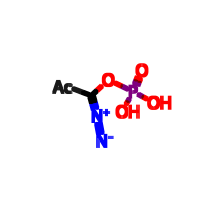 CC(=O)C(=[N+]=[N-])OP(=O)(O)O